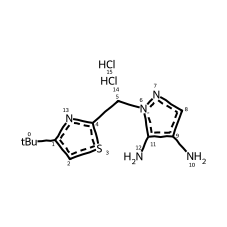 CC(C)(C)c1csc(Cn2ncc(N)c2N)n1.Cl.Cl